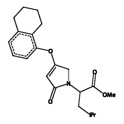 COC(=O)C(CC(C)C)N1CC(Oc2cccc3c2CCCC3)=CC1=O